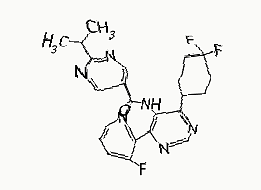 CC(C)c1ncc(C(=O)Nc2c(-c3ncccc3F)ncnc2C2CCC(F)(F)CC2)cn1